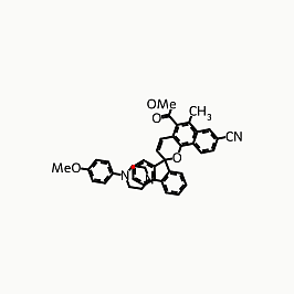 COC(=O)c1c2c(c3ccc(C#N)cc3c1C)OC(c1ccccc1)(c1ccccc1N1CCN(c3ccc(OC)cc3)CC1)C=C2